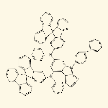 c1ccc(-c2ccc(-n3c4ccccc4c4c(N(c5ccccc5)c5ccc6c(c5)-c5ccccc5C65c6ccccc6-c6ccccc65)cc(N(c5ccccc5)c5ccc6c(c5)C5(c7ccccc7-c7ccccc75)c5ccccc5-6)cc43)cc2)cc1